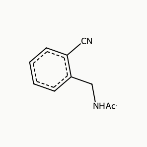 CC(=O)[N]Cc1ccccc1C#N